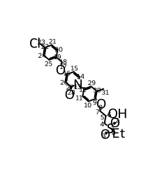 CCS(=O)(=O)C[C@@H](O)COc1ccc(-n2ccc(OCc3ccc(Cl)cc3)cc2=O)cc1C